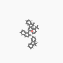 CC(C)(C)c1ccc(N(c2ccc3c(c2)-c2ccccc2C3(C)C)c2ccc3ccccc3c2-c2ccc3c(c2)-c2ccccc2C3(C)C)cc1